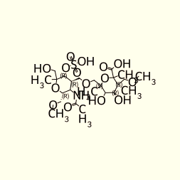 COC[C@@H]1OC(C)(CO)[C@H](OS(=O)(=O)O)[C@@H](COC[C@]2(C)OC(C)(C(=O)O)[C@@](C)(COC)[C@@H](O)C2O)C1NC(C)=O